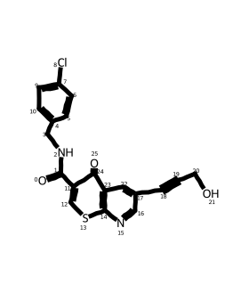 O=C(NCc1ccc(Cl)cc1)c1csc2ncc(C#CCO)cc2c1=O